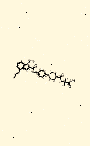 CCOc1cccc2c1cc(C(=O)Nc1ccc(N3CCN(C(=O)CC(C)(C)C(=O)O)CC3)nc1)n2CC